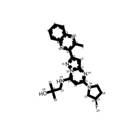 Cc1nc2ccccc2nc1-c1cc2nc(N3CC[C@@H](F)C3)cc(NCC(C)(C)O)n2n1